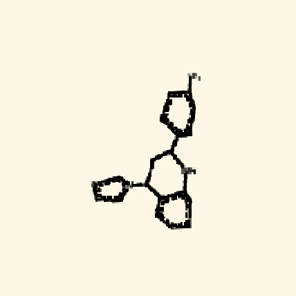 Cc1ccc(C2CC(n3ccnc3)c3ccccc3N2)cc1